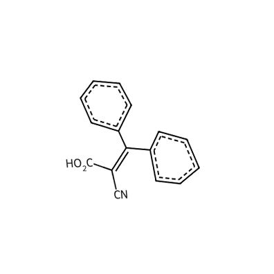 N#CC(C(=O)O)=C(c1ccccc1)c1ccccc1